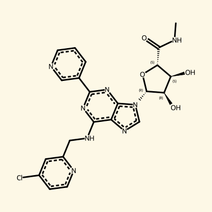 CNC(=O)[C@H]1O[C@@H](n2cnc3c(NCc4cc(Cl)ccn4)nc(-c4cccnc4)nc32)[C@H](O)[C@@H]1O